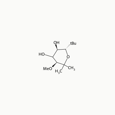 CO[C@H]1C(O)[C@@H](O)[C@H](C(C)(C)C)OC1(C)C